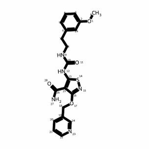 COc1cccc(CCNC(=O)Nc2snc(OCc3cccnc3)c2C(N)=O)c1